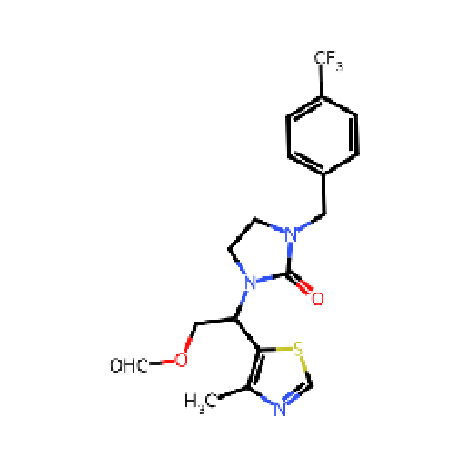 Cc1ncsc1C(COC=O)N1CCN(Cc2ccc(C(F)(F)F)cc2)C1=O